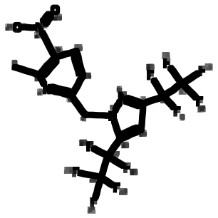 Cc1nc(Cn2nc(C(F)(F)C(F)(F)F)cc2C(F)(F)C(F)(F)F)ccc1[N+](=O)[O-]